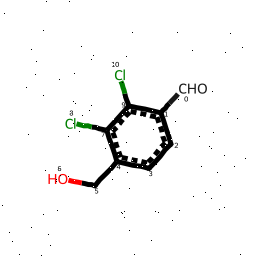 O=Cc1ccc(CO)c(Cl)c1Cl